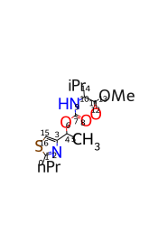 CCCc1nc(C(C)OC(=O)NC(C(=O)OC)C(C)C)cs1